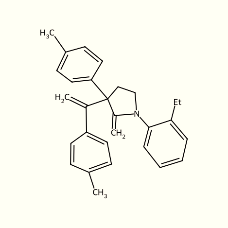 C=C(c1ccc(C)cc1)C1(c2ccc(C)cc2)CCN(c2ccccc2CC)C1=C